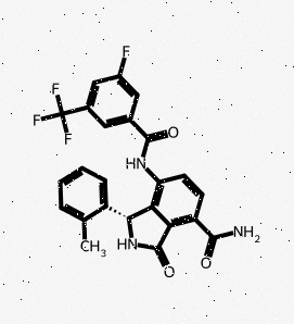 Cc1ccccc1[C@H]1NC(=O)c2c(C(N)=O)ccc(NC(=O)c3cc(F)cc(C(F)(F)F)c3)c21